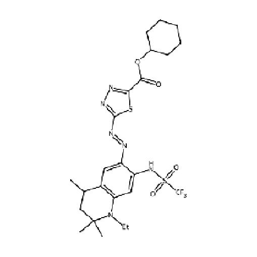 CCN1c2cc(NS(=O)(=O)C(F)(F)F)c(N=Nc3nnc(C(=O)OC4CCCCC4)s3)cc2C(C)CC1(C)C